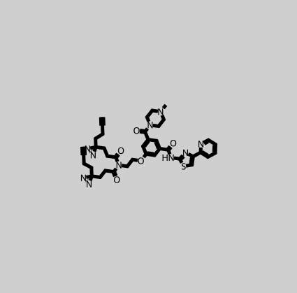 C#CCCC1(CCC(=O)N(CCOc2cc(C(=O)Nc3nc(-c4ccccn4)cs3)cc(C(=O)N3CCN(C)CC3)c2)C(=O)CCC2(CCC#C)N=N2)N=N1